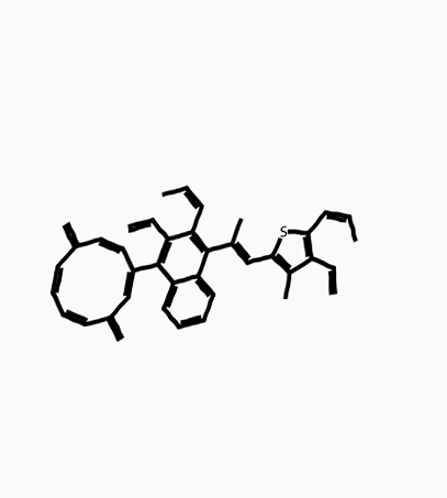 C=Cc1c(/C=C\C)sc(/C=C(\C)c2c(/C=C\C)c(C=C)c(-c3ccc(=C)ccccc(=C)c3)c3ccccc23)c1C